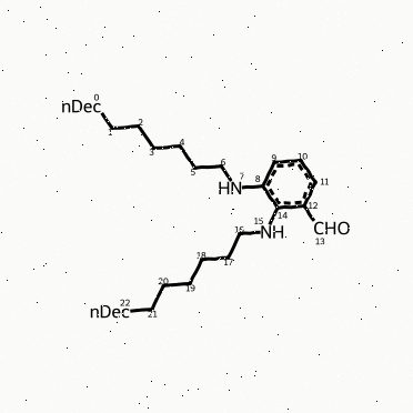 CCCCCCCCCCCCCCCCNc1cccc(C=O)c1NCCCCCCCCCCCCCCCC